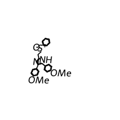 COc1ccc(-c2nc(CC[S+]([O-])c3ccccc3)[nH]c2-c2ccc(OC)cc2)cc1